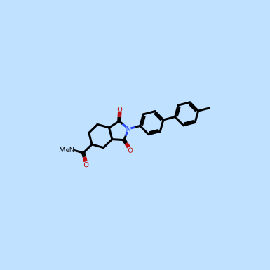 CNC(=O)C1CCC2C(=O)N(c3ccc(-c4ccc(C)cc4)cc3)C(=O)C2C1